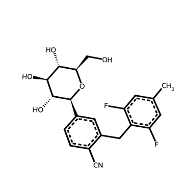 Cc1cc(F)c(Cc2cc([C@@H]3O[C@H](CO)[C@@H](O)[C@H](O)[C@H]3O)ccc2C#N)c(F)c1